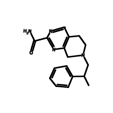 CC(CN1CCc2[c]nc(C(N)=O)nc2C1)c1ccccc1